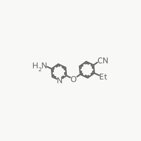 CCc1cc(Oc2ccc(N)cn2)ccc1C#N